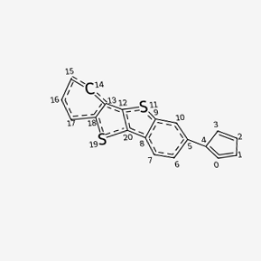 C1=CC=CC=1c1ccc2c(c1)sc1c3ccccc3sc21